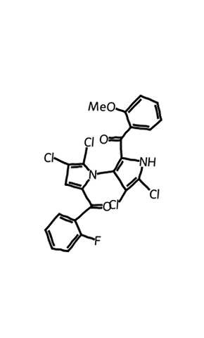 COc1ccccc1C(=O)c1[nH]c(Cl)c(Cl)c1-n1c(C(=O)c2ccccc2F)cc(Cl)c1Cl